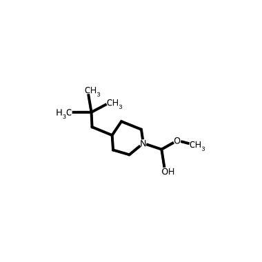 COC(O)N1CCC(CC(C)(C)C)CC1